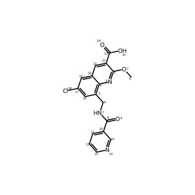 COc1nc2c(CNC(=O)c3cccnc3)cc(Cl)cc2cc1C(=O)O